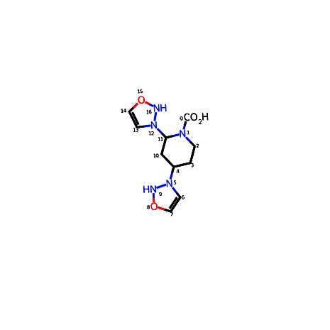 O=C(O)N1CCC(N2C=CON2)CC1N1C=CON1